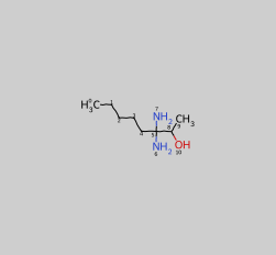 CCCCCC(N)(N)C(C)O